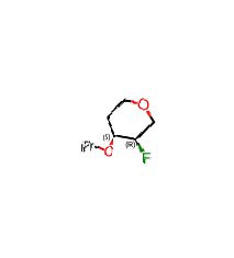 CC(C)O[C@H]1CCOC[C@H]1F